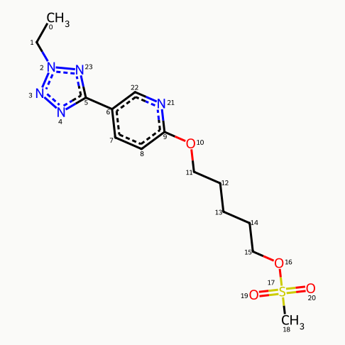 CCn1nnc(-c2ccc(OCCCCCOS(C)(=O)=O)nc2)n1